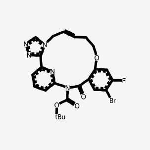 CC(C)(C)OC(=O)N1C(=O)c2cc(Br)c(F)cc2OCC/C=C/Cn2cnnc2-c2cccc1n2